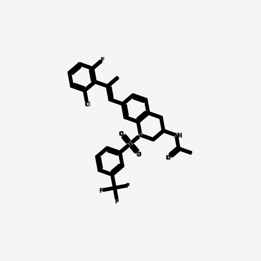 CC(=O)NC1Cc2ccc(C=C(C)c3c(F)cccc3Cl)cc2N(S(=O)(=O)c2cccc(C(F)(F)F)c2)C1